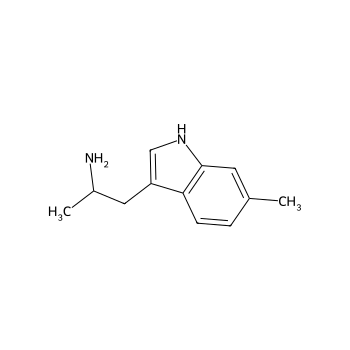 Cc1ccc2c(CC(C)N)c[nH]c2c1